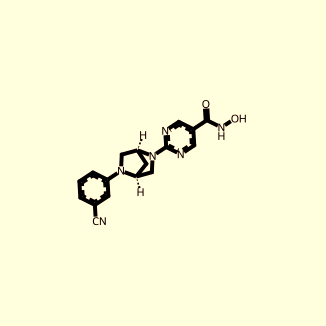 N#Cc1cccc(N2C[C@@H]3C[C@H]2CN3c2ncc(C(=O)NO)cn2)c1